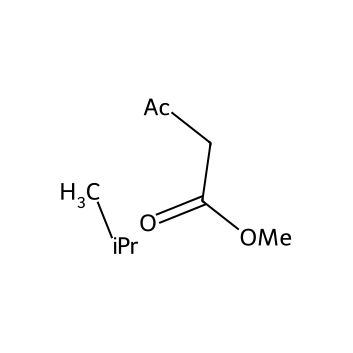 CC(C)C.COC(=O)CC(C)=O